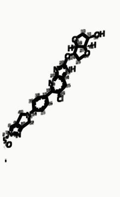 O=S(=O)(NC1CC1)n1cc2c(n1)CN(c1ccc(-c3nc4nc(O[C@@H]5CO[C@H]6[C@@H]5OC[C@H]6O)[nH]c4cc3Cl)cc1)C2